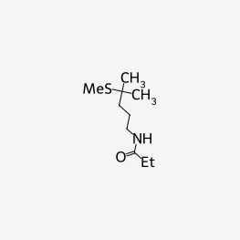 CCC(=O)NCCCC(C)(C)SC